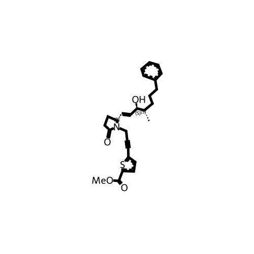 COC(=O)c1ccc(C#CCN2C(=O)CC[C@@H]2C=C[C@@H](O)[C@@H](C)CCCc2ccccc2)s1